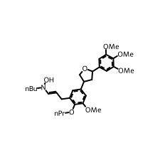 CCCCN(O)C=CCc1cc(C2COC(c3cc(OC)c(OC)c(OC)c3)C2)cc(OC)c1OCCC